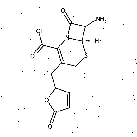 NC1C(=O)N2C(C(=O)O)=C(CC3C=CC(=O)O3)CS[C@H]12